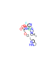 CN1CCN(Cc2ncc(F)c(C(=O)N[C@@H](CCO[C@H]3C[C@@H](CCc4ccc5c(n4)NCCC5)C3)C(=O)O)c2Cl)CC1